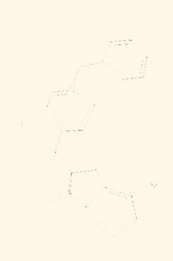 COc1cccc2c1CC(Cc1cc[n+](Cc3ccccc3)cc1)C2=O.[Br-]